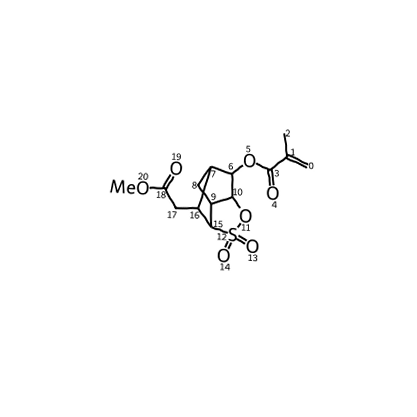 C=C(C)C(=O)OC1C2CC3C1OS(=O)(=O)C3C2CC(=O)OC